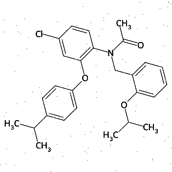 CC(=O)N(Cc1ccccc1OC(C)C)c1ccc(Cl)cc1Oc1ccc(C(C)C)cc1